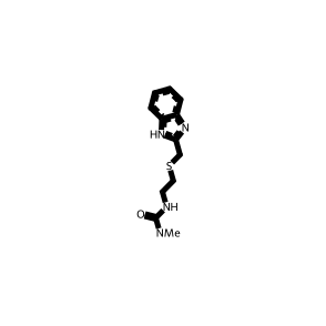 CNC(=O)NCCSCc1nc2ccccc2[nH]1